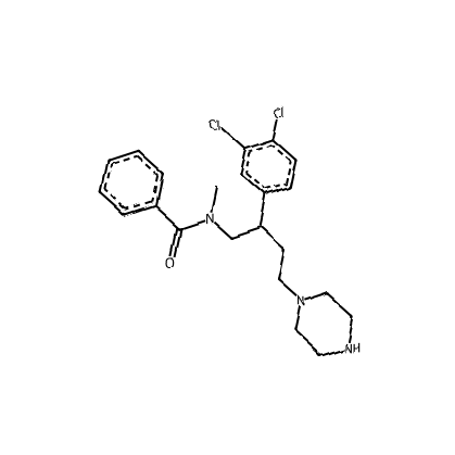 CN(CC(CCN1CCNCC1)c1ccc(Cl)c(Cl)c1)C(=O)c1ccccc1